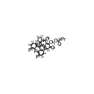 CC(C)C(=O)OCOc1c2n(ncc1=O)[C@@H]([C@H](c1cccc(F)c1)c1cccc(F)c1F)[C@H]1CCCN1C2=O